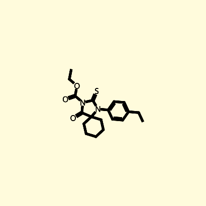 CCOC(=O)N1C(=O)C2(CCCCC2)N(c2ccc(CC)cc2)C1=S